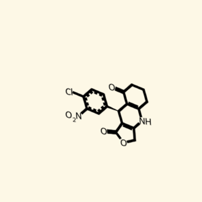 O=C1CCCC2=C1[C@H](c1ccc(Cl)c([N+](=O)[O-])c1)C1=C(COC1=O)N2